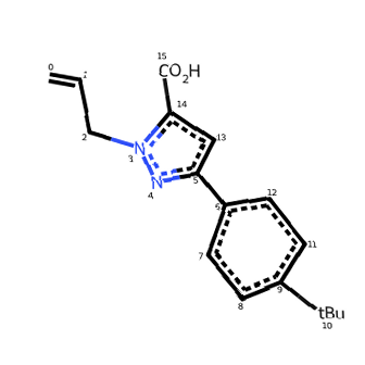 C=CCn1nc(-c2ccc(C(C)(C)C)cc2)cc1C(=O)O